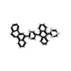 c1ccc2c(c1)ccc1c3ccccc3c(-c3ncc(-c4c5ccccc5c(-c5ncncn5)c5ccccc45)cn3)cc21